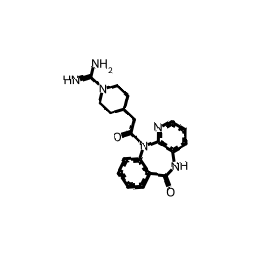 N=C(N)N1CCC(CC(=O)N2c3ccccc3C(=O)Nc3cccnc32)CC1